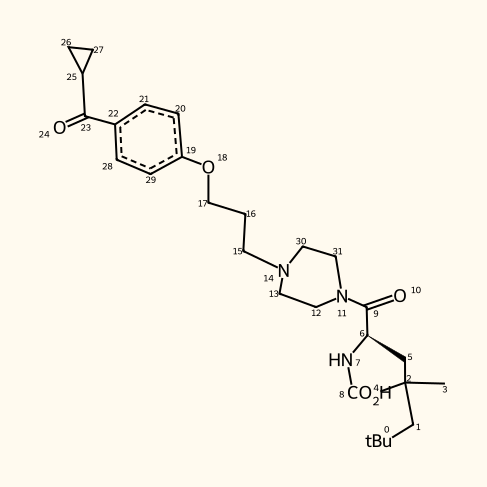 CC(C)(C)CC(C)(C)C[C@@H](NC(=O)O)C(=O)N1CCN(CCCOc2ccc(C(=O)C3CC3)cc2)CC1